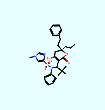 CCC[C@@]1(CCc2ccccc2)CC(O)=C(C(N(c2ccccc2)S(=O)(=O)c2cn(C)cn2)C(C)(C)C)C(=O)O1